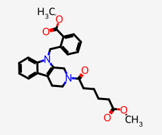 COC(=O)CCCCC(=O)N1CCc2c(n(Cc3ccccc3C(=O)OC)c3ccccc23)C1